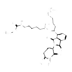 CCCCCCCCCCCCCCC(ONCCCCCNC(=O)OC(C)(C)C)c1cccc2c1C(=O)N(C1CCC(=O)NC1=O)C2=O